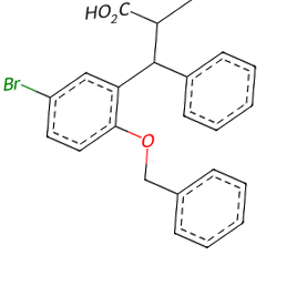 CC(C(=O)O)C(c1ccccc1)c1cc(Br)ccc1OCc1ccccc1